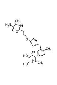 Cc1ccc([C@H]2[C@H](O)[C@H](O)[C@H](O)C[SH]2C)cc1Cc1ccc(OCCCC(=O)N[C@@H](C)C(N)=O)cc1